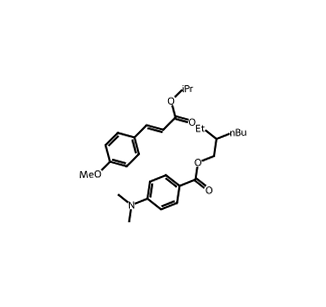 CCCCC(CC)COC(=O)c1ccc(N(C)C)cc1.COc1ccc(C=CC(=O)OC(C)C)cc1